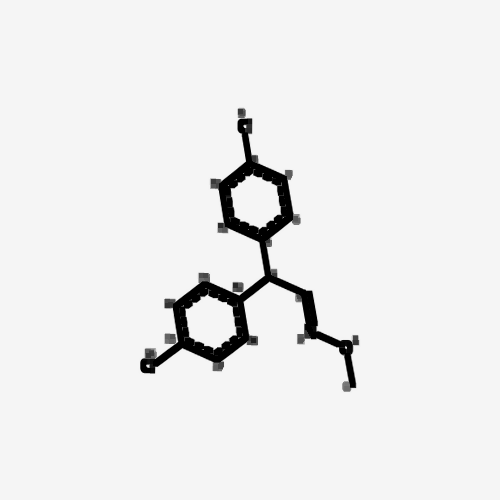 CO/N=C/C(c1ccc(Cl)cc1)c1ccc(Cl)cc1